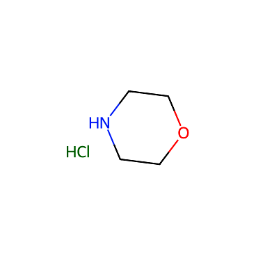 C1COCCN1.Cl